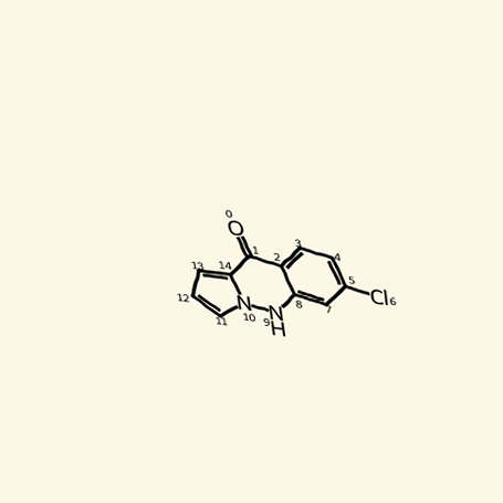 O=c1c2ccc(Cl)cc2[nH]n2cccc12